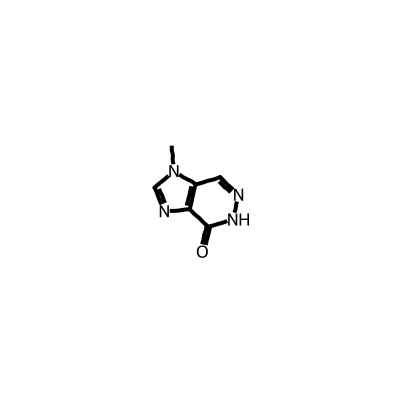 Cn1cnc2c(=O)[nH]ncc21